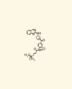 CN(C)C/C=C/C(=O)Nc1ccc(C(=O)N2CC[C@H](Nc3ncc4ccccc4n3)C2)cc1Cl